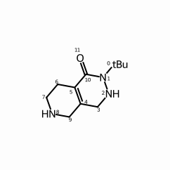 CC(C)(C)N1NCC2=C(CCNC2)C1=O